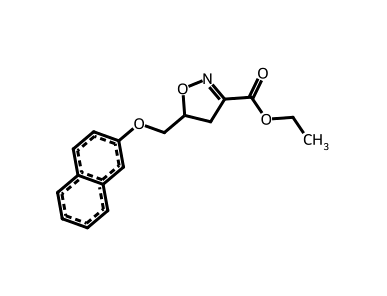 CCOC(=O)C1=NOC(COc2ccc3ccccc3c2)C1